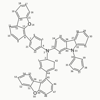 C1=CC(N(c2ccc(-c3cccc4c3oc3ccccc34)cc2)c2ccc3c4ccccc4n(-c4ccccc4)c3c2)CC=C1c1cccc2oc3ccccc3c12